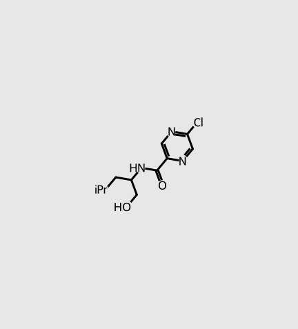 CC(C)CC(CO)NC(=O)c1cnc(Cl)cn1